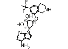 CC(F)(F)c1cc2c(c(O[C@H]3C[C@@H](n4ccc5c(N)ccnc54)[C@H](O)[C@@H]3O)c1)CNCC2